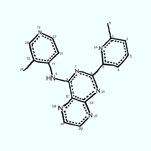 Cc1cccc(-c2nc(Nc3ccncc3C)c3nccnc3n2)n1